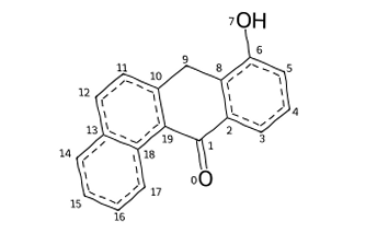 O=C1c2cccc(O)c2Cc2ccc3ccccc3c21